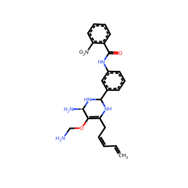 C=C/C=C\CC1=C(OCN)[C@@H](N)NC(c2cccc(NC(=O)c3ccccc3[N+](=O)[O-])c2)N1